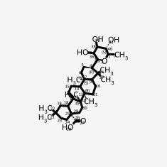 CC1O[C@@H]([C@@H]2CC[C@@]3(C)C(CC[C@]4(C)C3CC=C3C5CC(C)(C)CC[C@]5(C(=O)O)CC[C@]34C)C2(C)C)C(O)C(O)[C@@H]1O